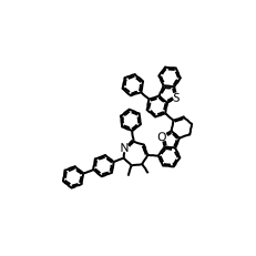 CC1C(c2cccc3c4c(oc23)C(c2ccc(-c3ccccc3)c3c2sc2ccccc23)=CCC4)=CC(c2ccccc2)=NC(c2ccc(-c3ccccc3)cc2)C1C